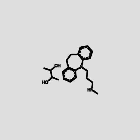 CC(O)C(C)O.CNCCCN1c2ccccc2CCc2ccccc21